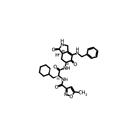 Cc1cc(C(=O)N[C@@H](CC2CCCCC2)C(=O)N[C@H]2C[C@H]3C(=O)NCC3=C(NCc3ccccc3)C2=O)no1